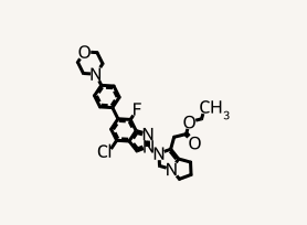 CCOC(=O)CC1=C2CCCN2CN1n1cc2c(Cl)cc(-c3ccc(N4CCOCC4)cc3)c(F)c2n1